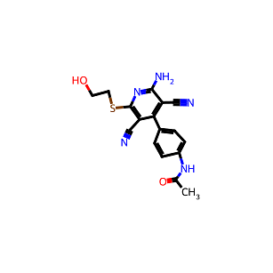 CC(=O)Nc1ccc(-c2c(C#N)c(N)nc(SCCO)c2C#N)cc1